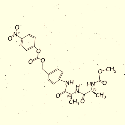 COC(=O)N[C@@H](C)C(=O)N[C@@H](C)C(=O)Nc1ccc(COC(=O)Oc2ccc([N+](=O)[O-])cc2)cc1